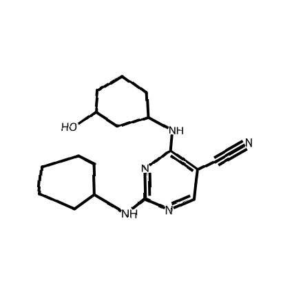 N#Cc1cnc(NC2CCCCC2)nc1NC1CCCC(O)C1